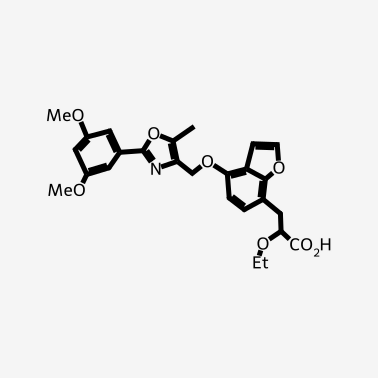 CCOC(Cc1ccc(OCc2nc(-c3cc(OC)cc(OC)c3)oc2C)c2ccoc12)C(=O)O